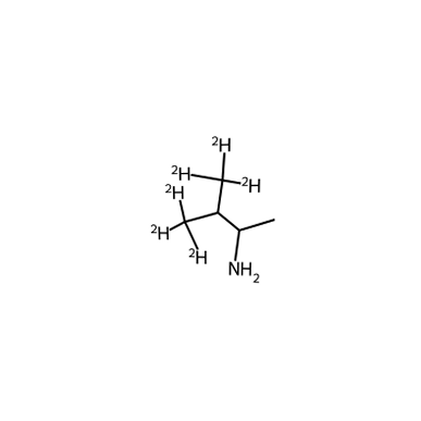 [2H]C([2H])([2H])C(C(C)N)C([2H])([2H])[2H]